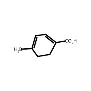 BC1=CC=C(C(=O)O)CC1